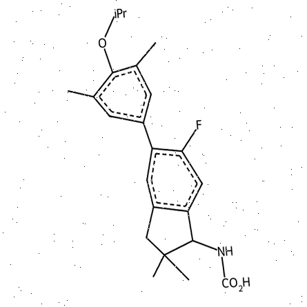 Cc1cc(-c2cc3c(cc2F)C(NC(=O)O)C(C)(C)C3)cc(C)c1OC(C)C